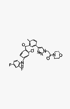 Cc1ccc(-c2cn(CC(=O)N3CCOCC3)nn2)cc1C(=O)c1ccc(Nc2ccc(F)cc2F)cc1Cl